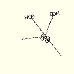 CCCCCCCCCCCCCCCCCC(=O)Oc1ccc(OC(=O)CCCCCCCCCCCCCCCCC)c(C(CCCCCCCCCCCCCCCCCC(=O)O)CCCCCCCCCCCCCCCCCC(=O)O)c1